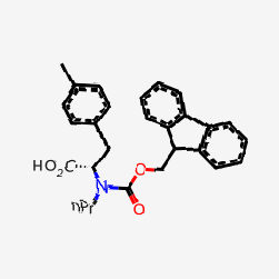 CCCN(C(=O)OCC1c2ccccc2-c2ccccc21)[C@@H](Cc1ccc(C)cc1)C(=O)O